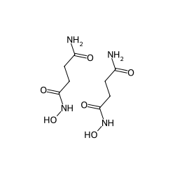 NC(=O)CCC(=O)NO.NC(=O)CCC(=O)NO